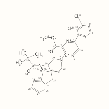 COC(=O)c1nc(-c2cccc(Cl)c2Cl)cnc1N1CCC2(CC1)Cc1ccccc1[C@H]2N[S+]([O-])C(C)(C)C